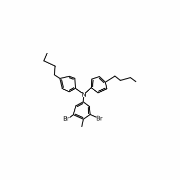 CCCCc1ccc(N(c2ccc(CCCC)cc2)c2cc(Br)c(C)c(Br)c2)cc1